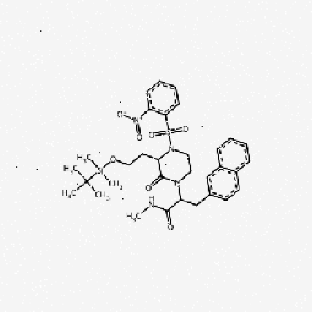 CNC(=O)C(Cc1ccc2ccccc2c1)N1CCN(S(=O)(=O)c2ccccc2[N+](=O)[O-])C(CCO[Si](C)(C)C(C)(C)C)C1=O